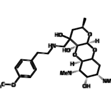 CN[C@H]1[C@@H](O)[C@@H](NC)CC2O[C@@H]3O[C@H](C)CC(O)(CNCCc4ccc(OC(F)(F)F)cc4)[C@]3(O)O[C@@H]21